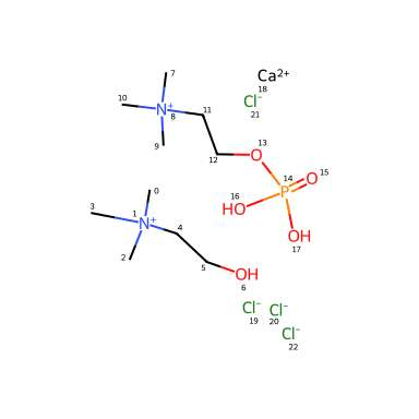 C[N+](C)(C)CCO.C[N+](C)(C)CCOP(=O)(O)O.[Ca+2].[Cl-].[Cl-].[Cl-].[Cl-]